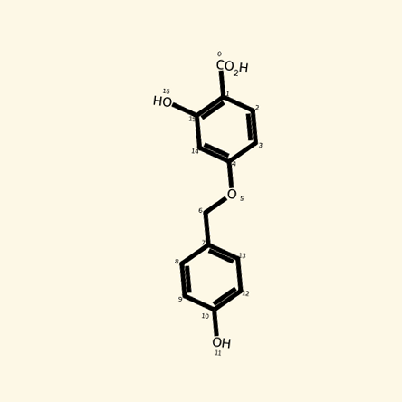 O=C(O)c1ccc(OCc2ccc(O)cc2)cc1O